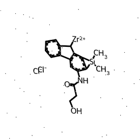 C[Si]1(C)c2c(NC(=O)CCO)cc3c(c21)[CH]([Zr+2])c1ccccc1-3.[Cl-].[Cl-]